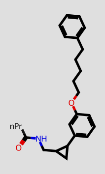 CCCC(=O)NCC1CC1c1cccc(OCCCCCc2ccccc2)c1